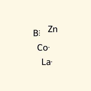 [B].[Co].[La].[Zn]